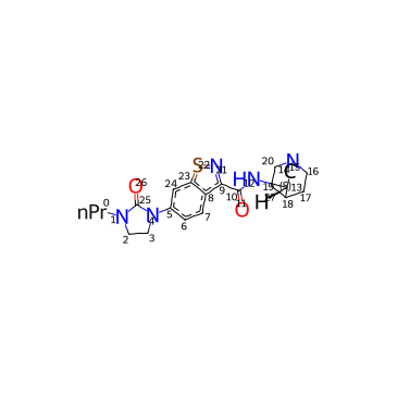 CCCN1CCN(c2ccc3c(C(=O)N[C@@H]4CN5CCC4CC5)nsc3c2)C1=O